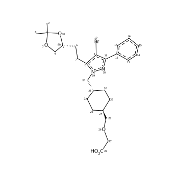 CC1(C)OC[C@@H](CCc2c(Br)c(-c3ccccc3)nn2C[C@H]2CC[C@H](COCC(=O)O)CC2)O1